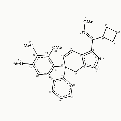 CON=C(c1n[nH]c2c1C=CC(c1ccccc1)(c1ccc(OC)c(OC)c1OC)C2)C1CCC1